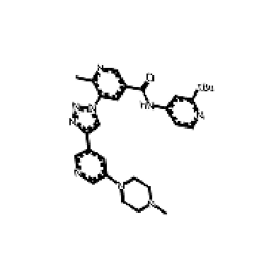 Cc1ncc(C(=O)Nc2ccnc(C(C)(C)C)c2)cc1-n1cc(-c2cncc(N3CCN(C)CC3)c2)nn1